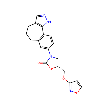 O=C1O[C@@H](COc2ccon2)CN1c1ccc2c(c1)CCCc1cn[nH]c1-2